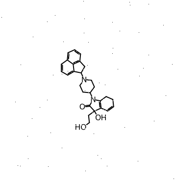 O=C1N(C2CCN(C3Cc4cccc5cccc3c45)CC2)C2=C(C=CCC2)C1(O)CCO